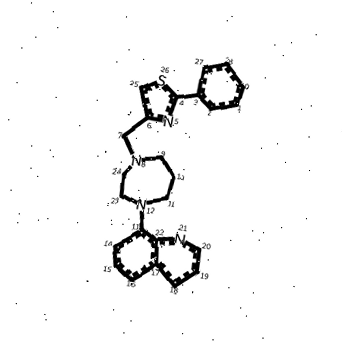 c1ccc(-c2nc(CN3CCCN(c4cccc5cccnc45)CC3)cs2)cc1